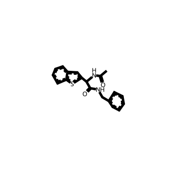 CC(=O)NC(C(=O)NCc1ccccc1)c1cc2ccccc2s1